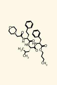 CCCCOC(=O)[C@H](Cc1ccccc1)NC(=O)[C@H](CC(C)C)NC(=O)[C@H](CCc1ccccc1)NC(=O)CN1CCOCC1